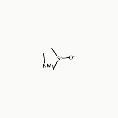 CNC.C[S+](C)[O-]